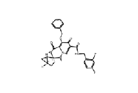 CN1C(=O)c2c(OCc3ccccc3)c(=O)c(C(=O)NCc3ccc(F)cc3F)cn2N(C)[C@]12CC[C@@H]1C[C@@H]12